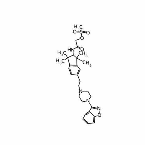 CC1(C)c2ccc(CCN3CCN(c4noc5ccccc45)CC3)cc2C(C)(C)C1NC(=O)COS(C)(=O)=O